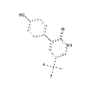 O=c1[nH]cc(C(F)(F)F)cc1-c1ccc(O)cc1